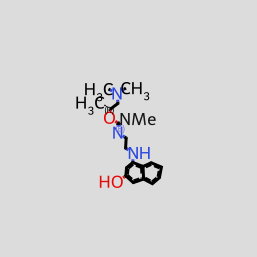 CN/C(=N\CCNc1cc(O)cc2ccccc12)O[C@H](C)CN(C)C